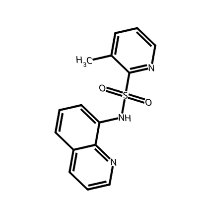 Cc1cccnc1S(=O)(=O)Nc1cccc2cccnc12